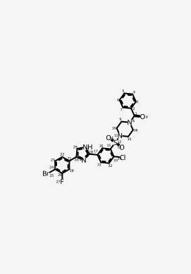 O=C(c1ccccc1)N1CCN(S(=O)(=O)c2cc(-c3nc(-c4ccc(Br)c(F)c4)c[nH]3)ccc2Cl)CC1